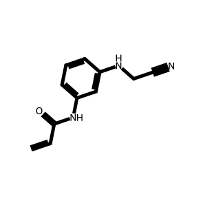 C=CC(=O)Nc1cccc(NCC#N)c1